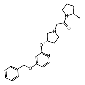 C[C@@H]1CCCN1C(=O)CN1CC[C@H](Oc2cc(OCc3ccccc3)ccn2)C1